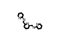 C(=N\c1ccccn1)/c1cccc(/C=N/c2ccccn2)n1